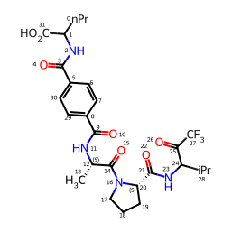 CCCC(NC(=O)c1ccc(C(=O)N[C@@H](C)C(=O)N2CCC[C@H]2C(=O)NC(C(=O)C(F)(F)F)C(C)C)cc1)C(=O)O